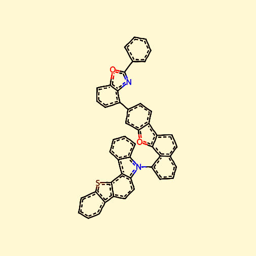 c1ccc(-c2nc3c(-c4ccc5c(c4)oc4c5ccc5cccc(-n6c7ccccc7c7c8sc9ccccc9c8ccc76)c54)cccc3o2)cc1